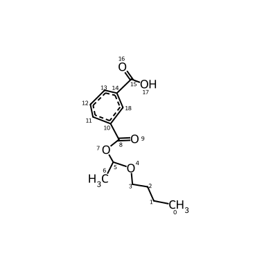 CCCCOC(C)OC(=O)c1cccc(C(=O)O)c1